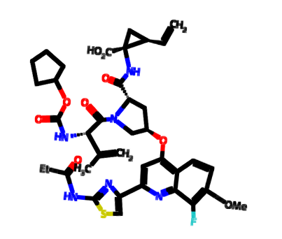 C=C[C@@H]1C[C@]1(NC(=O)[C@@H]1C[C@@H](Oc2cc(-c3csc(NC(=O)CC)n3)nc3c(F)c(OC)ccc23)CN1C(=O)[C@@H](NC(=O)OC1CCCC1)C(=C)C)C(=O)O